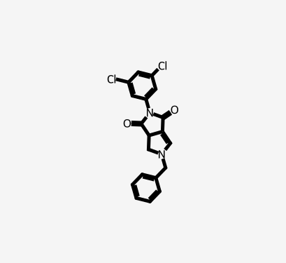 O=C1C2=CN(Cc3ccccc3)CC2C(=O)N1c1cc(Cl)cc(Cl)c1